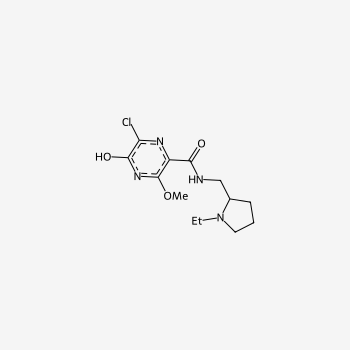 CCN1CCCC1CNC(=O)c1nc(Cl)c(O)nc1OC